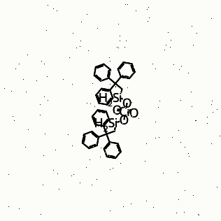 [O]=[Cr](=[O])([O][SiH2]CC(c1ccccc1)(c1ccccc1)c1ccccc1)[O][SiH2]CC(c1ccccc1)(c1ccccc1)c1ccccc1